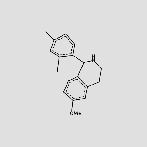 COc1ccc2c(c1)CCNC2c1ccc(C)cc1C